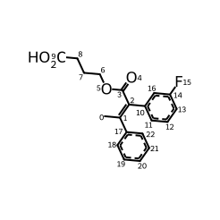 C/C(=C(\C(=O)OCCCC(=O)O)c1cccc(F)c1)c1ccccc1